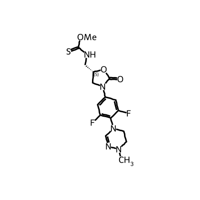 COC(=S)NC[C@H]1CN(c2cc(F)c(N3C=NN(C)CC3)c(F)c2)C(=O)O1